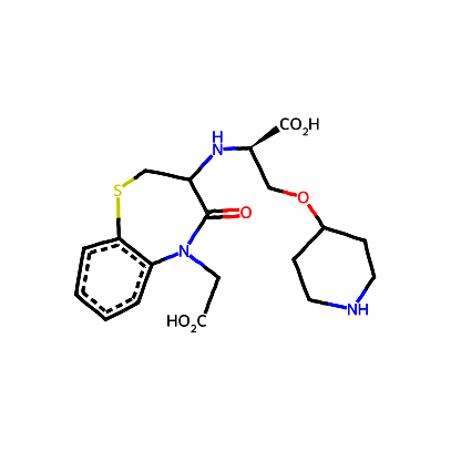 O=C(O)CN1C(=O)C(N[C@H](COC2CCNCC2)C(=O)O)CSc2ccccc21